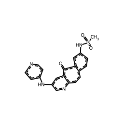 CS(=O)(=O)Nc1ccc2ccc3ncc(Nc4ccncc4)cc3c(=O)c2c1